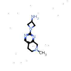 CN1CCc2cnc(N3CC(N)C3)nc2C1